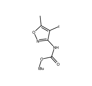 Cc1onc(NC(=O)OC(C)(C)C)c1I